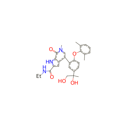 CCNC(=O)c1cc2c(-c3cc(C(C)(O)CO)ccc3Oc3c(C)cccc3C)cn(C)c(=O)c2[nH]1